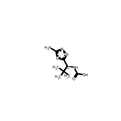 CC(C)(C)[C@H](NC(=O)O)c1nnc(N)o1